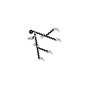 CCCCCCCCC(CCCCCCCC)COC(=O)CCCCCN(CCO)CCN(CCCCCC(=O)OCC(CCCCCCCC)CCCCCCCC)Cc1ccccc1